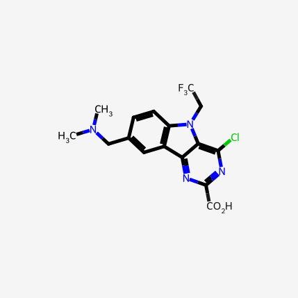 CN(C)Cc1ccc2c(c1)c1nc(C(=O)O)nc(Cl)c1n2CC(F)(F)F